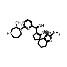 CNC1=C(C(=N)c2ccnc(N3CCCNC[C@@H]3C)n2)CCC12CCCc1sc(N)c(N)c12